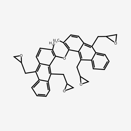 Cc1ccc2c(CC3CO3)c3ccccc3c(CC3CO3)c2c1Oc1c(C)ccc2c(CC3CO3)c3ccccc3c(CC3CO3)c12